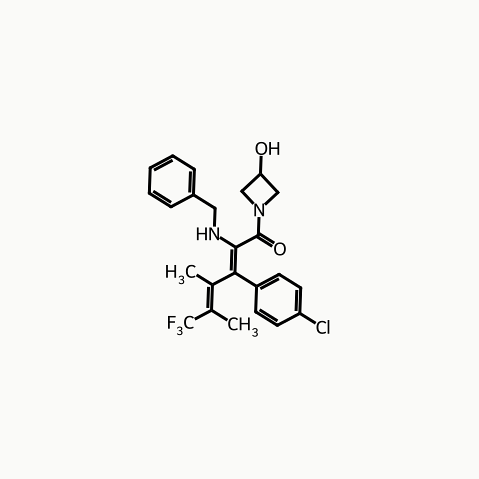 CC(/C(=C(\NCc1ccccc1)C(=O)N1CC(O)C1)c1ccc(Cl)cc1)=C(/C)C(F)(F)F